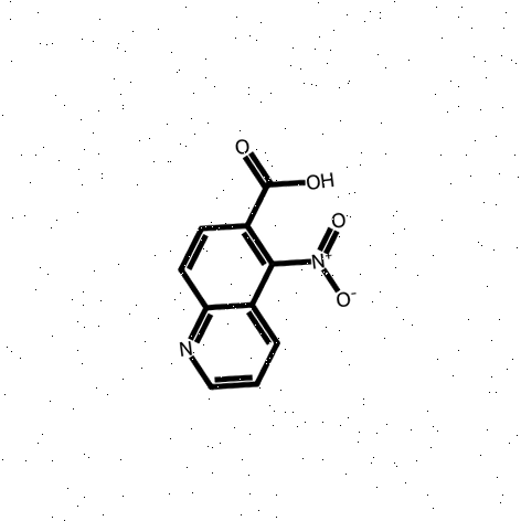 O=C(O)c1ccc2ncccc2c1[N+](=O)[O-]